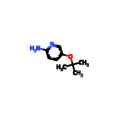 CC(C)(C)Oc1ccc(N)nc1